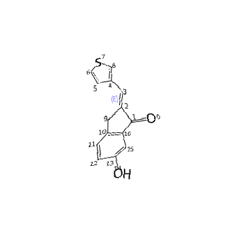 O=C1/C(=C/c2ccsc2)Cc2ccc(O)cc21